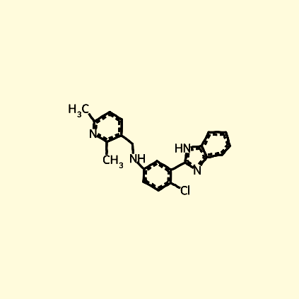 Cc1ccc(CNc2ccc(Cl)c(-c3nc4ccccc4[nH]3)c2)c(C)n1